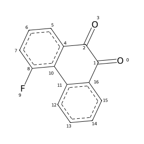 O=C1C(=O)c2cccc(F)c2-c2ccccc21